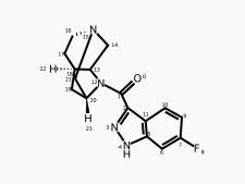 O=C(c1n[nH]c2cc(F)ccc12)N1C2C[N@@]3CC[C@@H]2C[C@@H]1C3